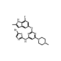 Cc1cc2cc(Oc3nc(Nc4ncc(Br)s4)cc(N4CCN(C)CC4)n3)cc(F)c2[nH]1